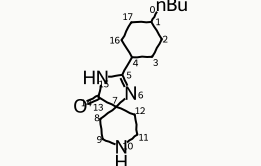 CCCCC1CCC(C2=NC3(CCNCC3)C(=O)N2)CC1